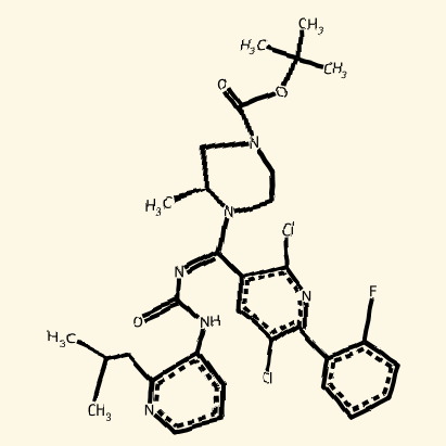 CC(C)Cc1ncccc1NC(=O)/N=C(\c1cc(Cl)c(-c2ccccc2F)nc1Cl)N1CCN(C(=O)OC(C)(C)C)C[C@@H]1C